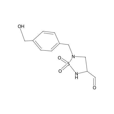 O=CC1CN(Cc2ccc(CO)cc2)S(=O)(=O)N1